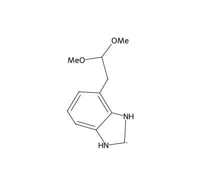 COC(Cc1cccc2c1N[CH]N2)OC